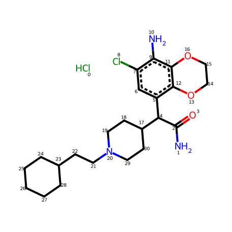 Cl.NC(=O)C(c1cc(Cl)c(N)c2c1OCCO2)C1CCN(CCC2CCCCC2)CC1